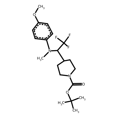 COc1ccc(N(C)C(C2CCN(C(=O)OC(C)(C)C)CC2)C(F)(F)F)cc1